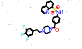 O=C(c1ccc(NS(=O)(=O)c2cccc3cccnc23)cc1)N1CCN(CCc2cc(F)c(F)c(F)c2)CC1